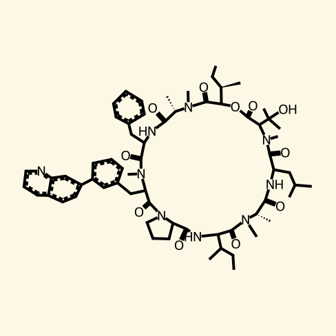 CCC(C)C1NC(=O)C2CCCN2C(=O)C(Cc2cccc(-c3ccc4cccnc4c3)c2)N(C)C(=O)C(Cc2ccccc2)NC(=O)[C@H](C)N(C)C(=O)C([C@H](C)CC)OC(=O)C(C(C)(C)O)N(C)C(=O)C(CC(C)C)NC(=O)[C@H](C)N(C)C1=O